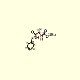 CC(C)[C@H](NC(=O)OC(C)(C)C)C(=O)NCc1ccncc1